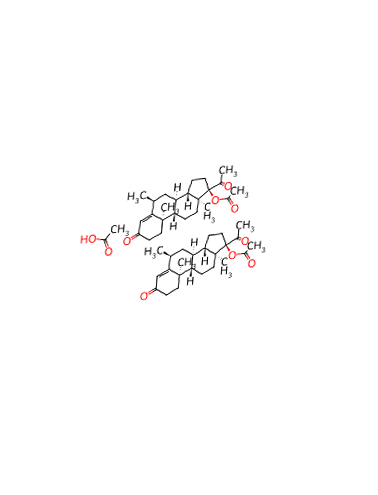 CC(=O)O.CC(=O)O[C@]1(C(C)=O)CC[C@H]2[C@@H]3C[C@H](C)C4=CC(=O)CC[C@]4(C)[C@H]3CC[C@@]21C.CC(=O)O[C@]1(C(C)=O)CC[C@H]2[C@@H]3C[C@H](C)C4=CC(=O)CC[C@]4(C)[C@H]3CC[C@@]21C